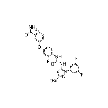 CC(C)(C)c1cc(NC(=O)Nc2ccc(Oc3ccnc(C(N)=O)c3)cc2F)n(-c2cc(F)cc(F)c2)n1